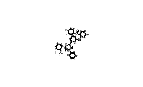 CC1CC=CC=C1c1nc(-c2ccccc2)nc(-c2ccc3c(c2)Oc2ccccc2P3(=O)c2ccccc2)n1